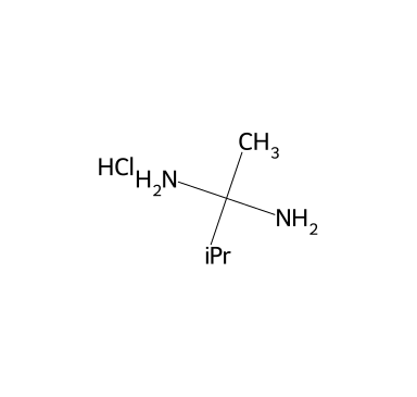 CC(C)C(C)(N)N.Cl